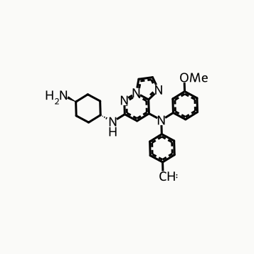 [CH]c1ccc(N(c2cccc(OC)c2)c2cc(N[C@H]3CC[C@H](N)CC3)nn3ccnc23)cc1